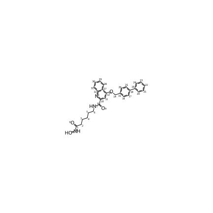 O=C(CCCCCNC(=O)c1cc(OCc2ccc(-c3ccccc3)cc2)c2ccccc2n1)NO